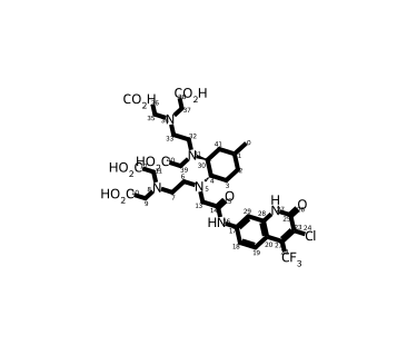 CC1CC[C@H](N(CCN(CC(=O)O)CC(=O)O)CC(=O)Nc2ccc3c(C(F)(F)F)c(Cl)c(=O)[nH]c3c2)[C@@H](N(CCN(CC(=O)O)CC(=O)O)CC(=O)O)C1